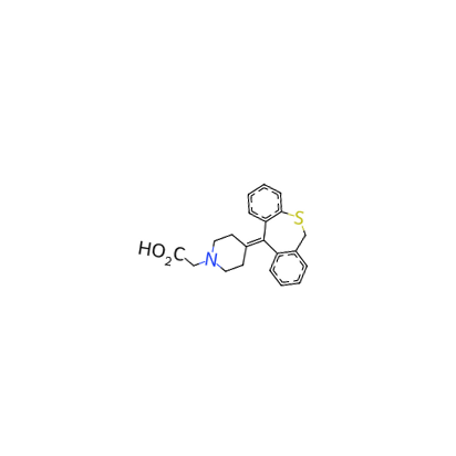 O=C(O)CN1CCC(=C2c3ccccc3CSc3ccccc32)CC1